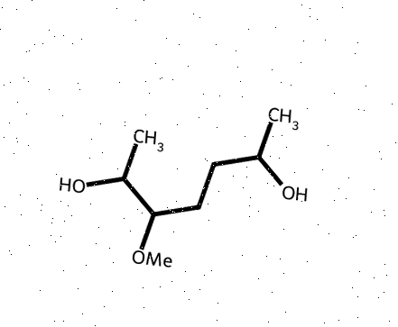 COC(CCC(C)O)C(C)O